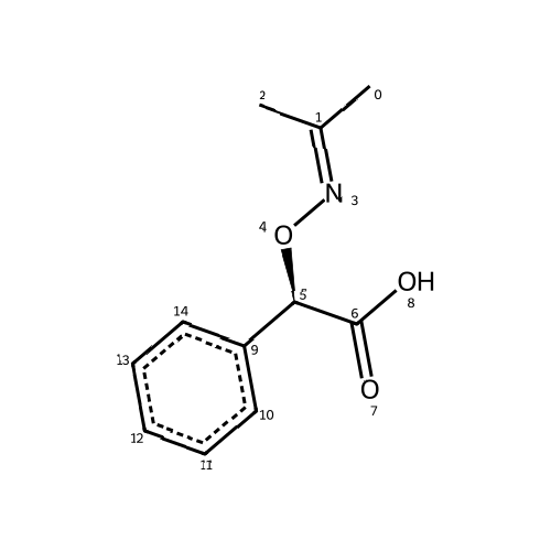 CC(C)=NO[C@@H](C(=O)O)c1ccccc1